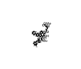 COC(=O)NCC(C)CCC(=O)NCCC(O)C(NC(=O)C(N1CCN(Cc2cccc(C)n2)C1=O)C(C)(C)C)C(Cc1ccc(-c2ccccn2)cc1)c1ccccc1